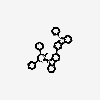 CN1C(n2c3ccccc3c3ccc(-c4ccc5c(c4)c4ccccc4n5-c4ccccc4)cc32)=NC(c2ccccc2)=CC1c1ccccc1